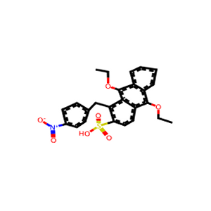 CCOc1c2ccccc2c(OCC)c2c(Cc3ccc([N+](=O)[O-])cc3)c(S(=O)(=O)O)ccc12